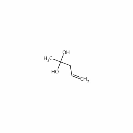 C=CCC(C)(O)O